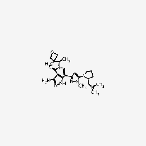 CC(n1cc(-c2cc(N3CCCC3CN(C)C)n(C)n2)c2[nH]nc(N)c2c1=O)C1(C)COC1